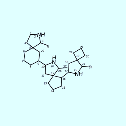 CC1NCCC12CCCC(C1CC3(CCCC3C3CC4(CCC4)C(C)N3)C(C)N1)C2